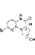 O=C1Nc2ccc(Br)nc2N2C[C@@H](O)C[C@H]12